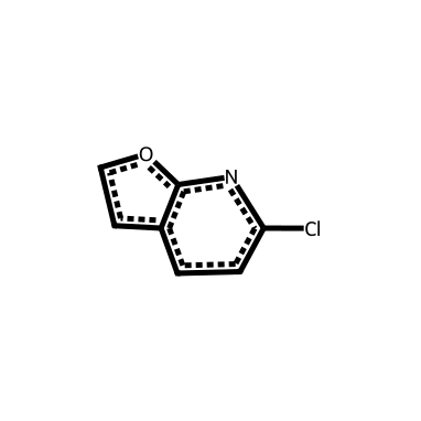 Clc1ccc2ccoc2n1